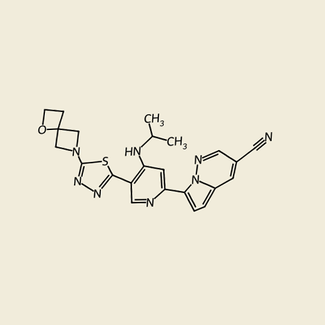 CC(C)Nc1cc(-c2ccc3cc(C#N)cnn23)ncc1-c1nnc(N2CC3(CCO3)C2)s1